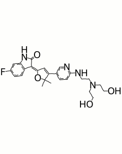 CC1(C)O/C(=C2/C(=O)Nc3cc(F)ccc32)C=C1c1ccc(NCCN(CCO)CCO)nc1